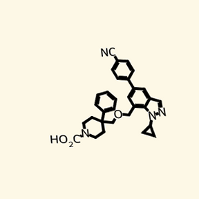 N#Cc1ccc(-c2cc(COCC3(c4ccccc4)CCN(C(=O)O)CC3)c3c(cnn3C3CC3)c2)cc1